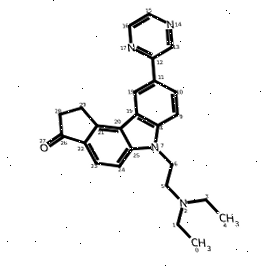 CCN(CC)CCn1c2ccc(-c3cnccn3)cc2c2c3c(ccc21)C(=O)CC3